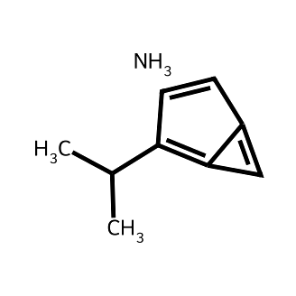 CC(C)c1ccc2cc1-2.N